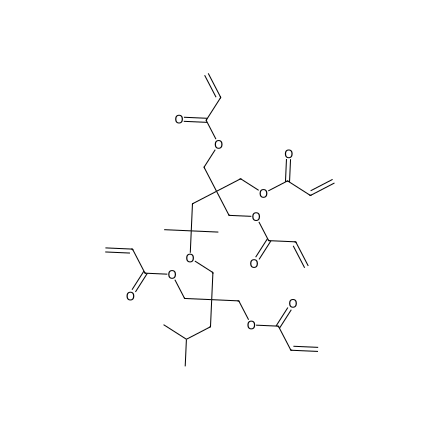 C=CC(=O)OCC(COC(=O)C=C)(COC(C)(C)CC(COC(=O)C=C)(COC(=O)C=C)COC(=O)C=C)CC(C)C